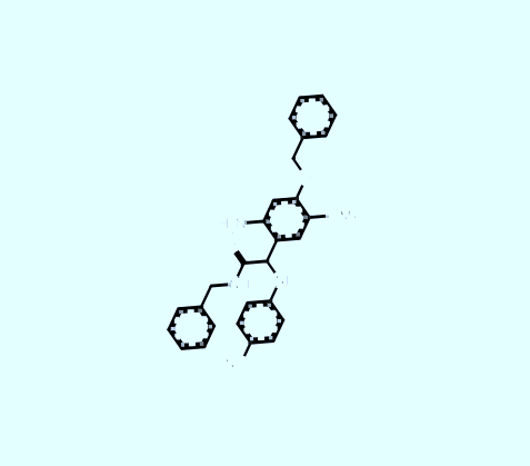 COc1cc(C(Nc2ccc(C#N)cc2)C(=O)NCc2ccccc2)c(N)cc1OCc1ccccc1